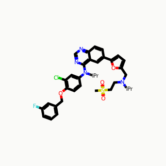 CC(C)N(CCS(C)(=O)=O)Cc1ccc(-c2ccc3ncnc(N(c4ccc(OCc5cccc(F)c5)c(Cl)c4)C(C)C)c3c2)o1